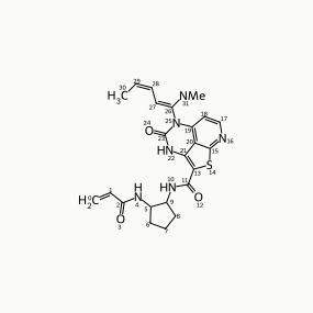 C=CC(=O)NC1CCCC1NC(=O)c1sc2nccc3c2c1NC(=O)N3/C(=C/C=C\C)NC